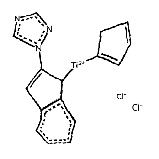 C1=CC[C]([Ti+2][CH]2C(n3cncn3)=Cc3ccccc32)=C1.[Cl-].[Cl-]